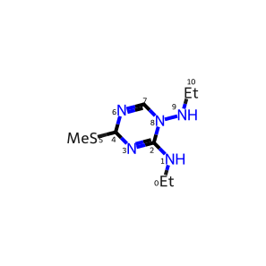 CCNC1=NC(SC)N=CN1NCC